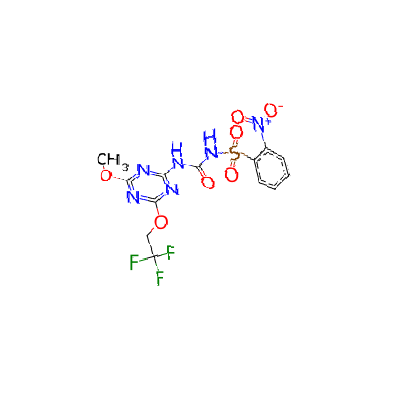 COc1nc(NC(=O)NS(=O)(=O)c2ccccc2[N+](=O)[O-])nc(OCC(F)(F)F)n1